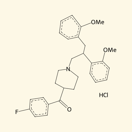 COc1ccccc1CC(CN1CCC(C(=O)c2ccc(F)cc2)CC1)c1ccccc1OC.Cl